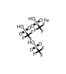 O=S(=O)(O)C(F)(F)F.O=S(=O)(O)C(F)(F)F.O=S(=O)(O)C(F)(F)F.[Fe]